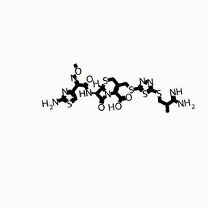 CO/N=C(\C(=O)N[C@@H]1C(=O)N2C(C(=O)O)=C(CSc3nnc(SCC(C)C(=N)N)s3)CS[C@@H]12)c1csc(N)n1